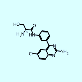 Nc1nc(-c2cccc(NC(=O)[C@@H](N)CO)c2)c2cc(Cl)ccc2n1